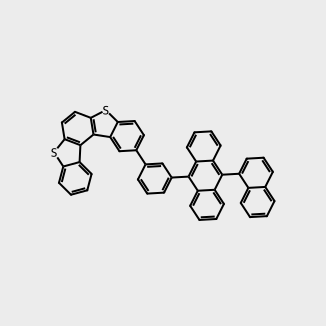 c1cc(-c2ccc3sc4ccc5sc6ccccc6c5c4c3c2)cc(-c2c3ccccc3c(-c3cccc4ccccc34)c3ccccc23)c1